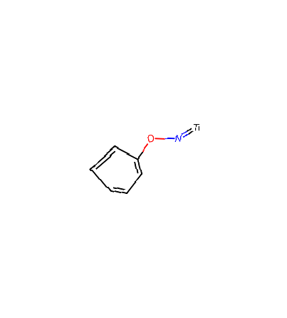 [Ti]=[N]Oc1ccccc1